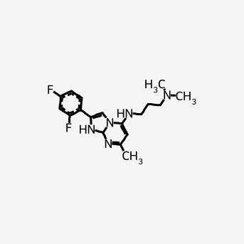 CC1=NC2NC(c3ccc(F)cc3F)=CN2C(NCCCN(C)C)=C1